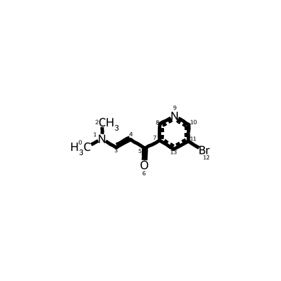 CN(C)/C=C/C(=O)c1cncc(Br)c1